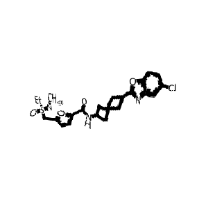 CCS(=O)(Cc1ccc(C(=O)NC2CC3(C2)CC(c2nc4cc(Cl)ccc4o2)C3)o1)=NC